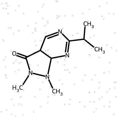 CC(C)C1=NC2C(C=N1)C(=O)N(C)N2C